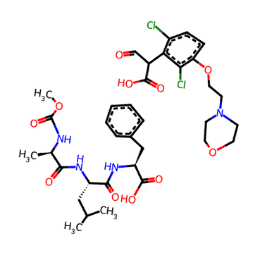 COC(=O)N[C@H](C)C(=O)N[C@@H](CC(C)C)C(=O)N[C@@H](Cc1ccccc1)C(=O)O.O=CC(C(=O)O)c1c(Cl)ccc(OCCN2CCOCC2)c1Cl